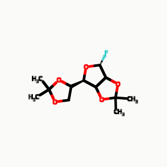 CC1(C)OCC([C@H]2O[C@H](F)C3OC(C)(C)OC32)O1